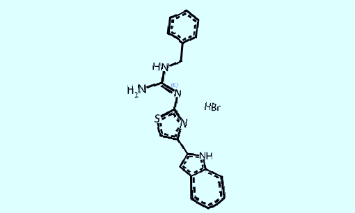 Br.N/C(=N\c1nc(-c2cc3ccccc3[nH]2)cs1)NCc1ccccc1